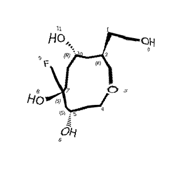 OC[C@H]1OC[C@H](O)[C@](O)(F)[C@@H]1O